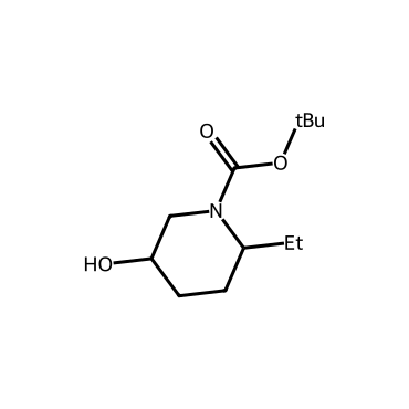 CCC1CCC(O)CN1C(=O)OC(C)(C)C